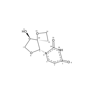 O=c1ccn([C@@H]2OC[C@@H](O)[C@]23CCO3)c(=O)[nH]1